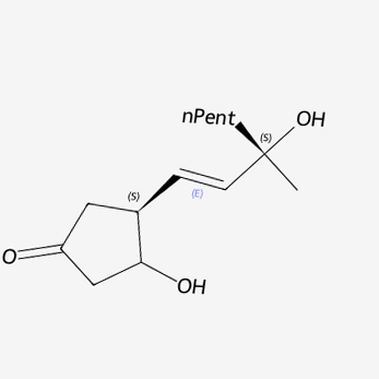 CCCCC[C@](C)(O)/C=C/[C@@H]1CC(=O)CC1O